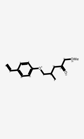 C=Cc1ccc(OCC(C)CC(=O)COC)cc1